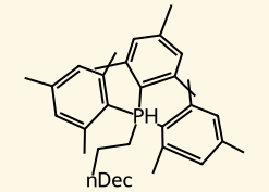 CCCCCCCCCCCC[PH](c1c(C)cc(C)cc1C)(c1c(C)cc(C)cc1C)c1c(C)cc(C)cc1C